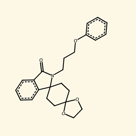 O=C1c2ccccc2C2(CCC3(CC2)OCCO3)N1CCCOc1ccccc1